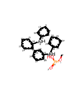 CO[PH](=O)O.c1cc[c]([AlH][c]2ccccc2)cc1.c1cc[c]([AlH][c]2ccccc2)cc1